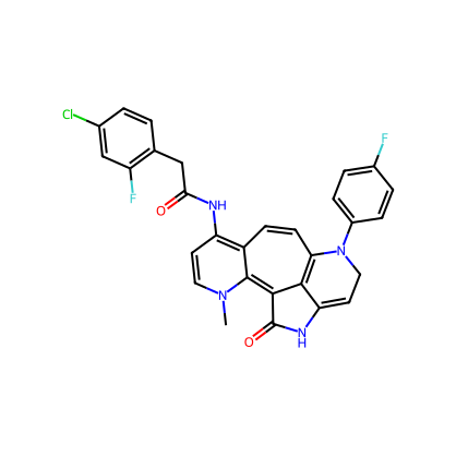 CN1C=CC(NC(=O)Cc2ccc(Cl)cc2F)=c2ccc3c4c([nH]c(=O)c-4c21)=CCN3c1ccc(F)cc1